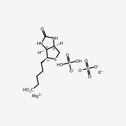 O=C(O)CCCC[C@@H]1SC[C@@H]2NC(=O)N[C@@H]21.O=P([O-])(O)O.O=S(=O)([O-])[O-].[K+].[Mg+2]